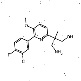 COc1ccc(C(C)(CN)CO)nc1-c1ccc(F)c(Cl)c1